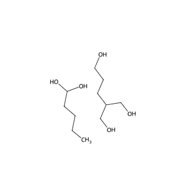 CCCCC(O)O.OCCCC(CO)CO